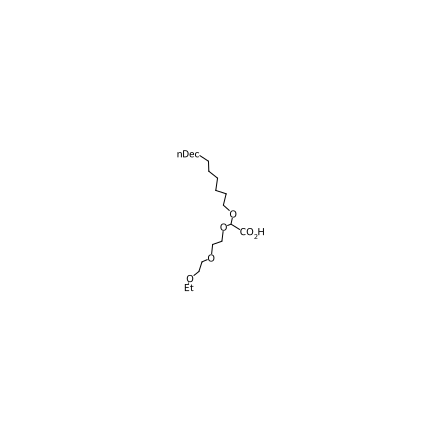 CCCCCCCCCCCCCCCCOC(OCCOCCOCC)C(=O)O